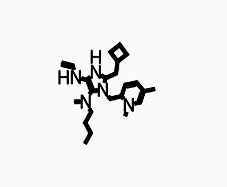 C=CNC1=C(N(C)CCCC)N(CC2C=CC(C)=CN2C)C(CC2CCC2)N1